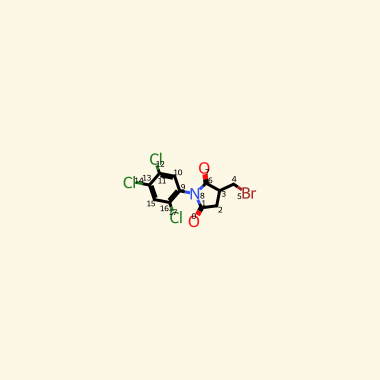 O=C1CC(CBr)C(=O)N1c1cc(Cl)c(Cl)cc1Cl